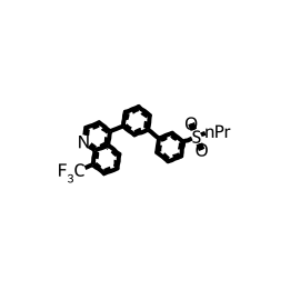 CCCS(=O)(=O)c1cccc(-c2cccc(-c3ccnc4c(C(F)(F)F)cccc34)c2)c1